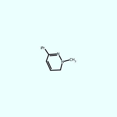 CC(C)C1=NN(C)CC=C1